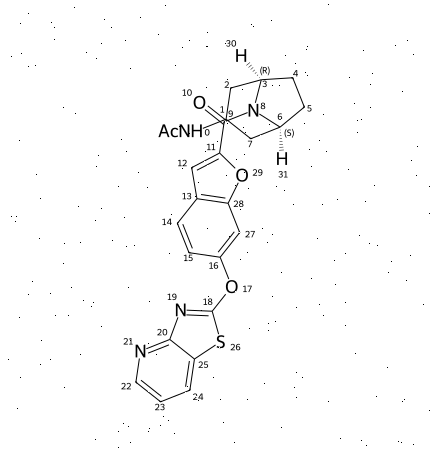 CC(=O)NC1C[C@H]2CC[C@@H](C1)N2C(=O)c1cc2ccc(Oc3nc4ncccc4s3)cc2o1